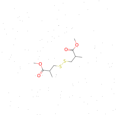 COC(=O)C(C)CSSCC(C)C(=O)OC